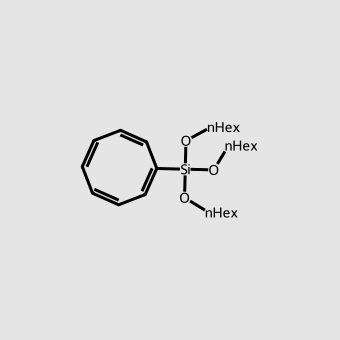 CCCCCCO[Si](OCCCCCC)(OCCCCCC)C1=CC=CC=CC=C1